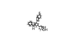 OC1C=CC(c2cc(NCc3ccc(F)cc3)nc(Nc3cnccn3)c2)=CN1